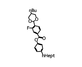 CCCCCCCc1ccc(OC(=O)c2ccc(C3OCC(CCCC)CO3)c(F)c2)cc1